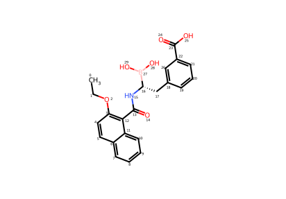 CCOc1ccc2ccccc2c1C(=O)N[C@@H](Cc1cccc(C(=O)O)c1)B(O)O